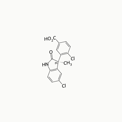 C[C@@]1(c2cc(C(=O)O)ccc2Cl)C(=O)Nc2ccc(Cl)cc21